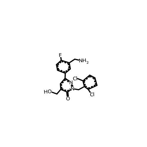 NCc1cc(-c2cc(CO)c(=O)n(Cc3c(Cl)cccc3Cl)n2)ccc1F